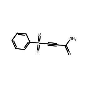 NC(=O)C#CS(=O)(=O)c1ccccc1